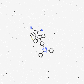 N#Cc1cc(C#N)c2c(c1)C1(c3ccccc3Sc3ccccc31)c1cc(-c3ccc(-c4nc(-c5ccccc5)nc(-c5ccccc5)n4)cc3)c3ccccc3c1-2